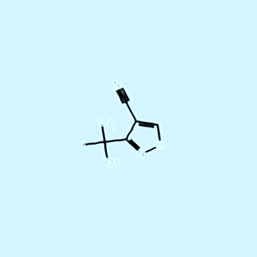 CC(C)(I)c1nocc1C#N